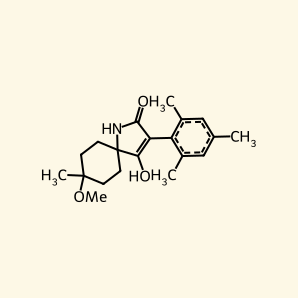 COC1(C)CCC2(CC1)NC(=O)C(c1c(C)cc(C)cc1C)=C2O